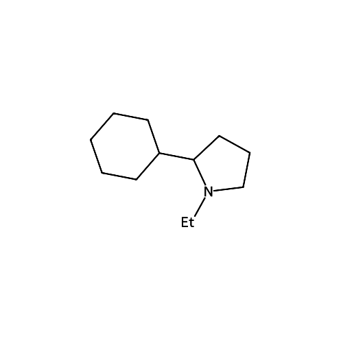 CCN1CCCC1C1CCCCC1